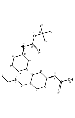 CCN(C[C@H]1CC[C@H](NC(=O)O)CC1)[C@H]1CC[C@H](NC(=O)OC(C)(C)C)CC1